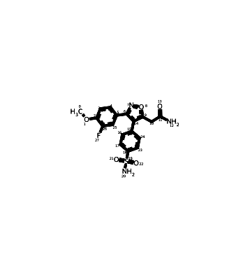 COc1ccc(-c2noc(CC(N)=O)c2-c2ccc(S(N)(=O)=O)cc2)cc1F